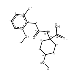 COc1cccc(Cl)c1CC(=O)NC1(C(=O)O)CCC(OC)CC1